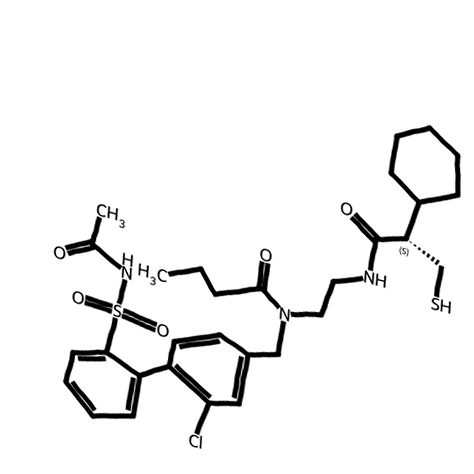 CCCC(=O)N(CCNC(=O)[C@@H](CS)C1CCCCC1)Cc1ccc(-c2ccccc2S(=O)(=O)NC(C)=O)c(Cl)c1